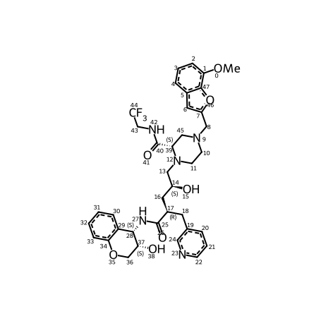 COc1cccc2cc(CN3CCN(C[C@@H](O)C[C@@H](Cc4cccnc4)C(=O)N[C@H]4c5ccccc5OC[C@H]4O)[C@H](C(=O)NCC(F)(F)F)C3)oc12